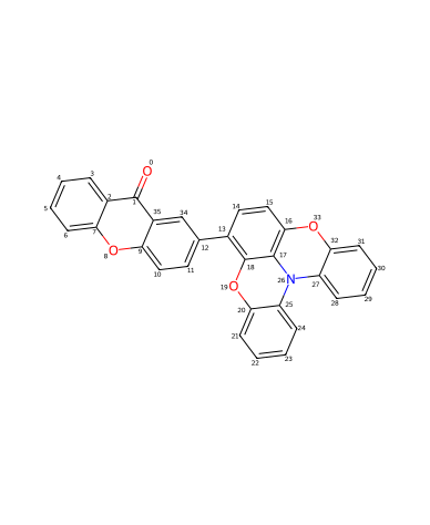 O=c1c2ccccc2oc2ccc(-c3ccc4c5c3Oc3ccccc3N5c3ccccc3O4)cc12